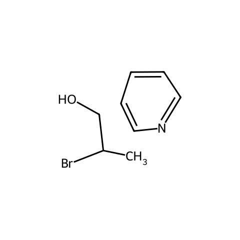 CC(Br)CO.c1ccncc1